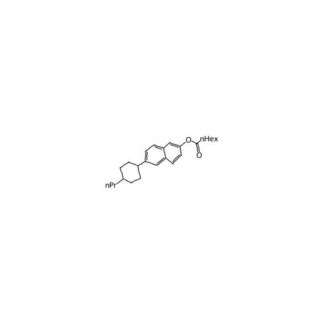 CCCCCCC(=O)Oc1ccc2cc(C3CCC(CCC)CC3)ccc2c1